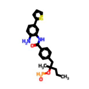 CCCC(C)(Cc1ccc(C(=O)Nc2cc(-c3cccs3)ccc2N)cc1)O[PH2]=O